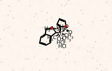 C[SiH](C)[Ti]([CH3])([CH3])([CH3])([CH3])([C]1=CC=CC1)([CH]1C=Cc2ccccc21)[P](=O)=O.Cl.Cl